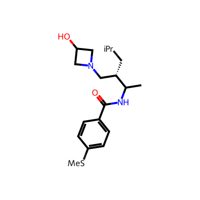 CSc1ccc(C(=O)NC(C)[C@@H](CC(C)C)CN2CC(O)C2)cc1